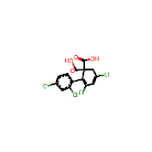 O=C(O)C1(C(=O)O)CC(Cl)=CC(Cl)=C1c1ccc(Cl)cc1Cl